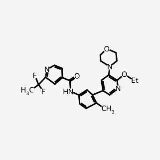 CCOc1ncc(-c2cc(NC(=O)c3ccnc(C(C)(F)F)c3)ccc2C)cc1N1CCOCC1